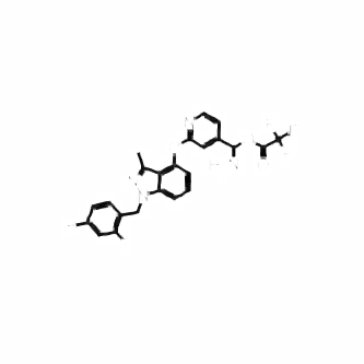 Cc1nn(Cc2ccc(F)cc2F)c2cccc(Oc3cc(C(N)OC(=O)C(F)(F)F)ccn3)c12